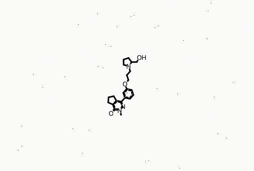 Cn1nc(-c2cccc(OCCCN3CCCC3CO)c2)c2c(c1=O)CCC2